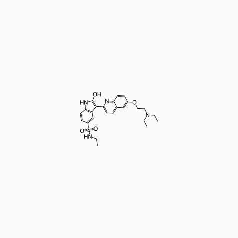 CCNS(=O)(=O)c1ccc2[nH]c(O)c(-c3ccc4cc(OCCN(CC)CC)ccc4n3)c2c1